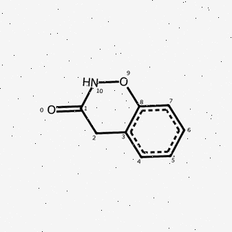 O=C1Cc2c[c]ccc2ON1